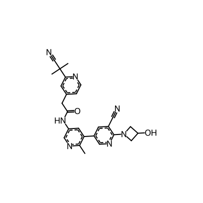 Cc1ncc(NC(=O)Cc2ccnc(C(C)(C)C#N)c2)cc1-c1cnc(N2CC(O)C2)c(C#N)c1